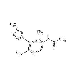 CC(=O)Nc1cnc(N)c(-c2cnn(C)c2)c1C